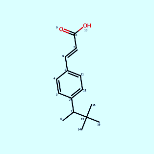 CC(c1ccc(/C=C/C(=O)O)cc1)C(C)(C)C